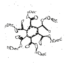 CCCCCCCCCCOC(=O)c1c(C(=O)OCCCCCCCCCC)c(C(=O)OCCCCCCCCCC)c(C(=O)OCCCCCCCCCC)c(C(=O)OCCCCCCCCCC)c1C(=O)OCCCCCCCCCC